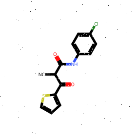 N#CC(C(=O)Nc1ccc(Cl)cc1)C(=O)c1cccs1